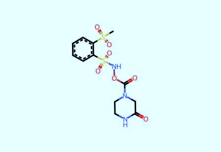 CS(=O)(=O)c1ccccc1S(=O)(=O)NOC(=O)N1CCNC(=O)C1